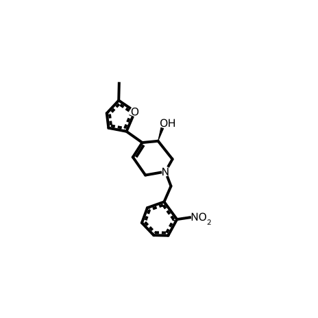 Cc1ccc(C2=CCN(Cc3ccccc3[N+](=O)[O-])C[C@@H]2O)o1